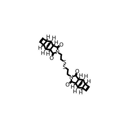 O=C1[C@@H]2[C@@H]3C=C[C@@H]([C@H]4C=C[C@H]43)[C@@H]2C(=O)N1CCSSCCN1C(=O)[C@@H]2[C@@H]3C=C[C@@H]([C@H]4C=C[C@H]43)[C@@H]2C1=O